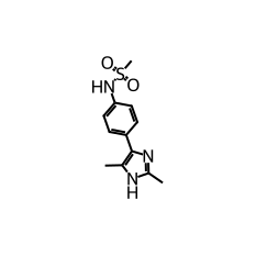 Cc1nc(-c2ccc(NS(C)(=O)=O)cc2)c(C)[nH]1